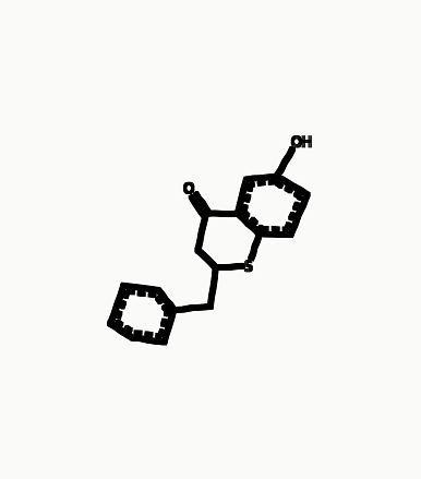 O=C1CC(Cc2ccccc2)Sc2ccc(O)cc21